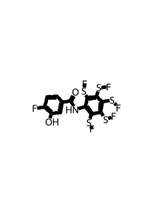 O=C(Nc1c(SF)c(SF)c(SF)c(SF)c1SF)c1ccc(F)c(O)c1